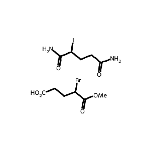 COC(=O)C(Br)CCC(=O)O.NC(=O)CCC(I)C(N)=O